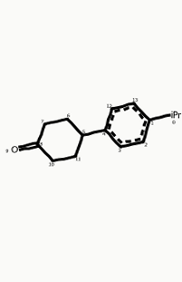 CC(C)c1ccc(C2CCC(=O)CC2)cc1